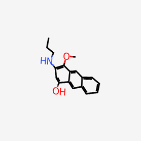 CCCNc1cc(O)c2cc3ccccc3cc2c1OC